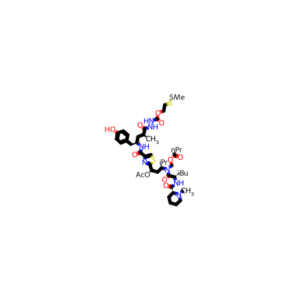 CCCC(=O)OCN(C(=O)[C@@H](NC(=O)[C@H]1CCCCN1C)C(C)CC)[C@H](C[C@@H](OC(C)=O)c1nc(C(=O)N[C@@H](Cc2ccc(O)cc2)C[C@H](C)C(=O)NNC(=O)OCCSSC)cs1)C(C)C